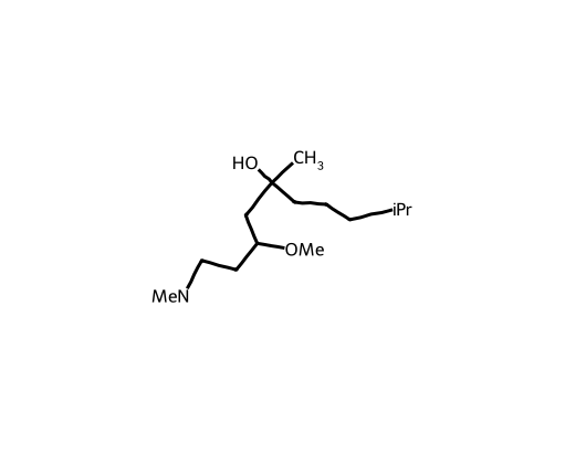 CNCCC(CC(C)(O)CCCC(C)C)OC